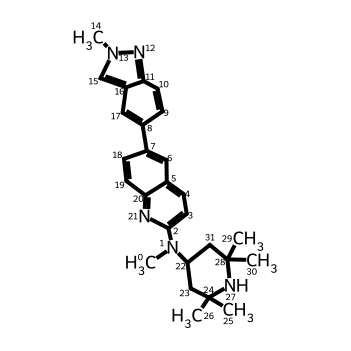 CN(c1ccc2cc(-c3ccc4nn(C)cc4c3)ccc2n1)C1CC(C)(C)NC(C)(C)C1